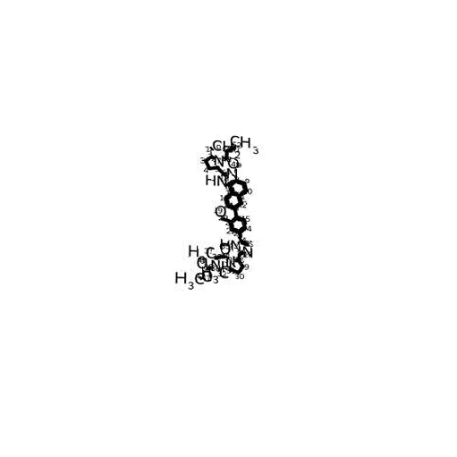 C=C[C@H]1CCC(c2nc3ccc4cc5c(cc4c3[nH]2)OCc2cc(-c3cnc(C4CC[C@H](C)N4C(=O)[C@H](C)NC(=O)OC)[nH]3)ccc2-5)N1C(=O)CCC